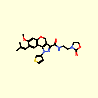 COc1cc2c(cc1C=C(C)C)-c1c(c(C(=O)NCCN3CCOC3=O)nn1-c1ccsc1)CO2